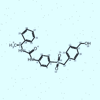 C[C@H](NC(=O)Nc1ccc(S(=O)(=O)Cc2ccc(CO)cc2)cc1)c1ccccc1